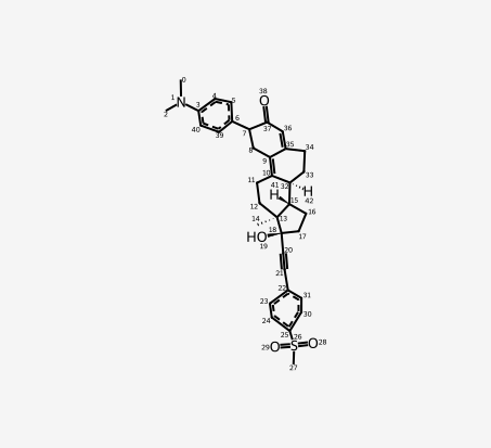 CN(C)c1ccc(C2CC3=C4CC[C@@]5(C)[C@@H](CC[C@]5(O)C#Cc5ccc(S(C)(=O)=O)cc5)[C@@H]4CCC3=CC2=O)cc1